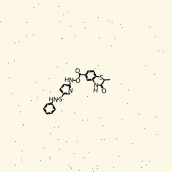 CC1Sc2ccc(C(=O)ONc3ccc(SNc4ccccc4)cn3)cc2NC1=O